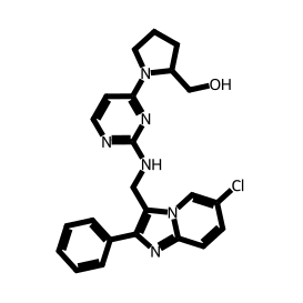 OCC1CCCN1c1ccnc(NCc2c(-c3ccccc3)nc3ccc(Cl)cn23)n1